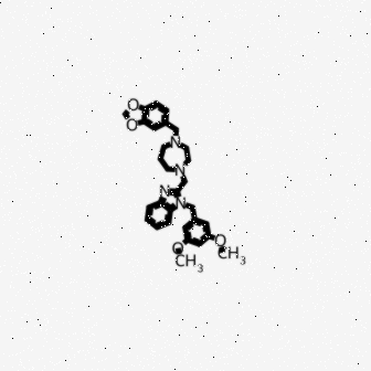 COc1cc(Cn2c(CN3CCCN(Cc4ccc5c(c4)OCO5)CC3)nc3ccccc32)cc(OC)c1